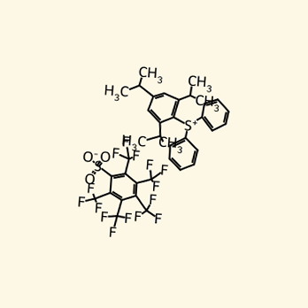 CC(C)c1cc(C(C)C)c([S+](c2ccccc2)c2ccccc2)c(C(C)C)c1.O=S(=O)([O-])c1c(C(F)(F)F)c(C(F)(F)F)c(C(F)(F)F)c(C(F)(F)F)c1C(F)(F)F